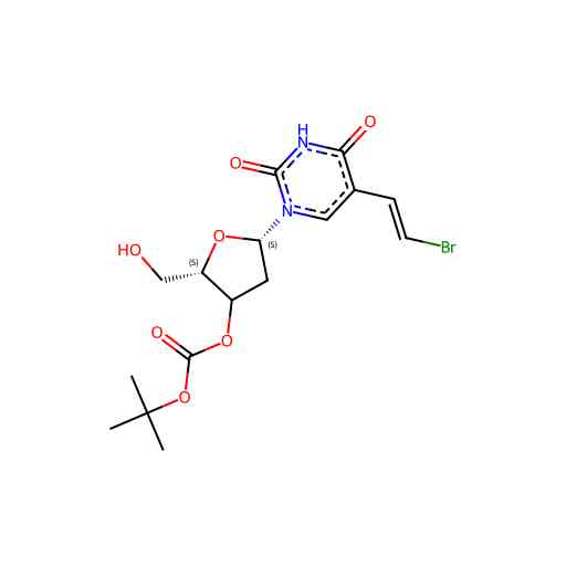 CC(C)(C)OC(=O)OC1C[C@@H](n2cc(C=CBr)c(=O)[nH]c2=O)O[C@H]1CO